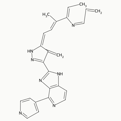 C=C\C=N/C(=C\C)C(/C)=C/C=c1/[nH]nc(-c2nc3c(-c4ccncc4)nccc3[nH]2)c1=C